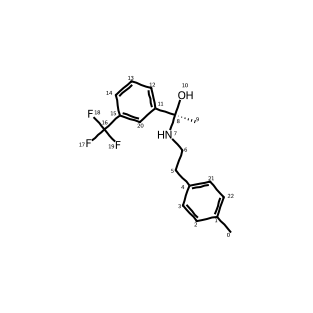 Cc1ccc(CCN[C@](C)(O)c2cccc(C(F)(F)F)c2)cc1